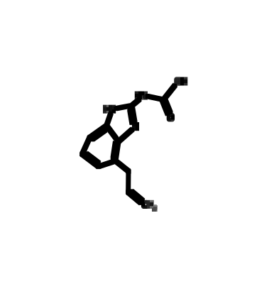 C=CCc1cccc2[nH]c(NC(=O)O)nc12